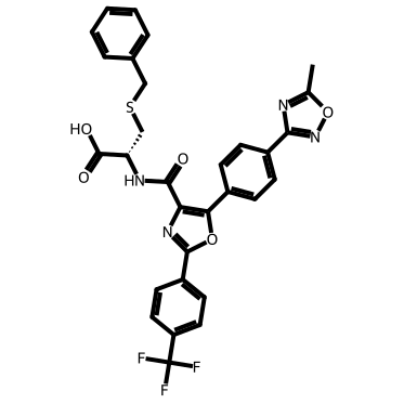 Cc1nc(-c2ccc(-c3oc(-c4ccc(C(F)(F)F)cc4)nc3C(=O)N[C@@H](CSCc3ccccc3)C(=O)O)cc2)no1